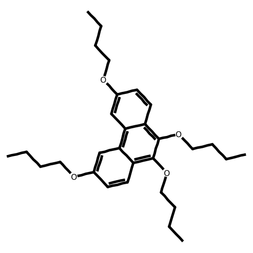 CCCCOc1ccc2c(OCCCC)c(OCCCC)c3ccc(OCCCC)cc3c2c1